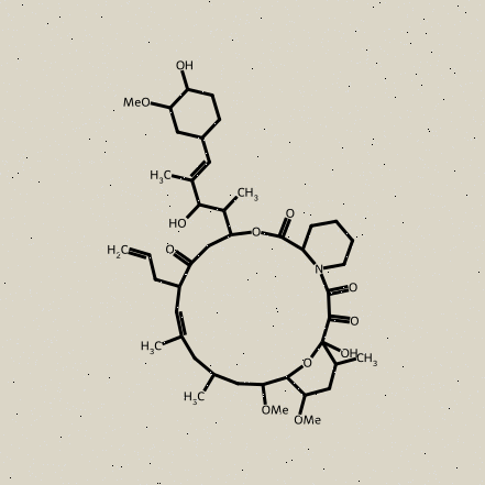 C=CCC1C=C(C)CC(C)CC(OC)C2OC(O)(C(=O)C(=O)N3CCCCC3C(=O)OC(C(C)C(O)C(C)=CC3CCC(O)C(OC)C3)CC1=O)C(C)CC2OC